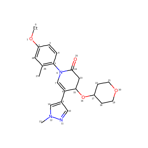 CCOc1ccc(N2C=C(c3cnn(C)c3)C(OC3CCOCC3)CC2=O)c(C)c1